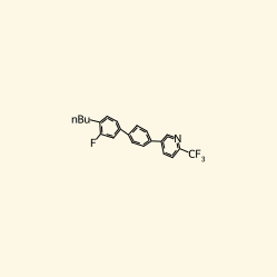 CCCCc1ccc(-c2ccc(-c3ccc(C(F)(F)F)nc3)cc2)cc1F